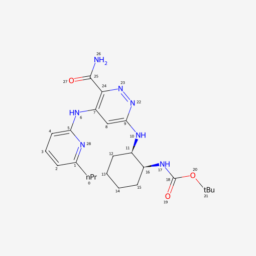 CCCc1cccc(Nc2cc(N[C@@H]3CCCC[C@@H]3NC(=O)OC(C)(C)C)nnc2C(N)=O)n1